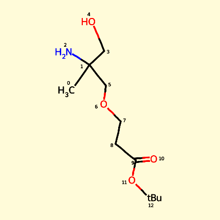 CC(N)(CO)COCCC(=O)OC(C)(C)C